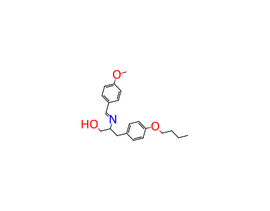 CCCCOc1ccc(CC(CO)/N=C/c2ccc(OC)cc2)cc1